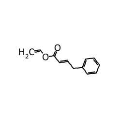 C=COC(=O)C=CCc1ccccc1